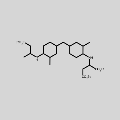 CCOC(=O)CC(C)NC1CCC(CC2CCC(NC(CC(=O)OCC)C(=O)OCC)C(C)C2)CC1C